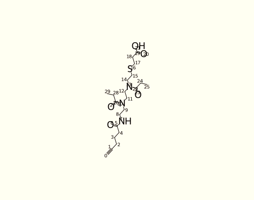 C#CCCCC(=O)NCCN(CCN(CCSCCC(=O)O)C(=O)CC)C(=O)CC